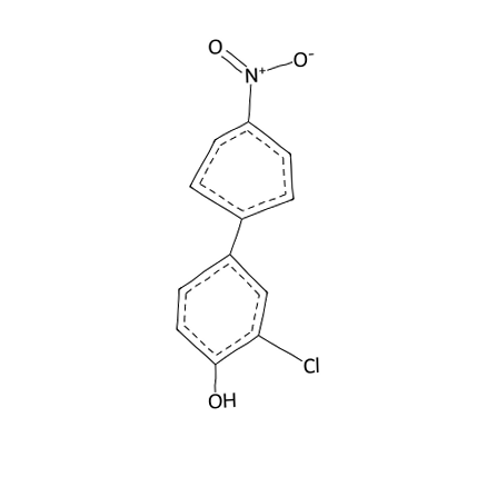 O=[N+]([O-])c1ccc(-c2ccc(O)c(Cl)c2)cc1